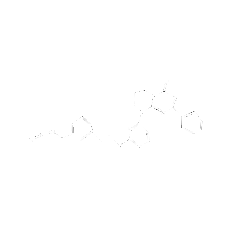 [N-]=[N+]=NCc1cccc(CCNc2nccc(N3CCCn4c3nc(-c3ccccc3)cc4=O)n2)c1